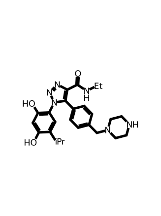 CCNC(=O)c1nnn(-c2cc(C(C)C)c(O)cc2O)c1-c1ccc(CN2CCNCC2)cc1